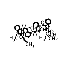 CCCCOC(=O)[C@@H](CC)[C@@H]1CCCC[C@@H]1NC(=O)[C@@H](CC)[C@@H]1CCCC[C@@H]1NC(=O)[C@@H](CC)[C@@H]1CCCC[C@@H]1NC(=O)CC1(CNC(=O)OC(C)(C)C)CCCCC1